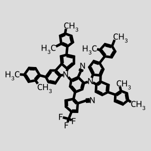 Cc1ccc(-c2ccc3c(c2)c2cc(-c4ccc(C)cc4C)ccc2n3-c2cc(-c3ccc(C(F)(F)F)cc3C#N)cc(-n3c4ccc(-c5ccc(C)cc5C)cc4c4cc(-c5ccc(C)cc5C)ccc43)c2C#N)c(C)c1